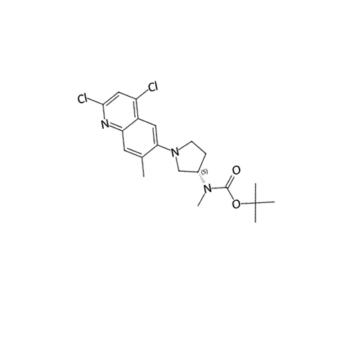 Cc1cc2nc(Cl)cc(Cl)c2cc1N1CC[C@H](N(C)C(=O)OC(C)(C)C)C1